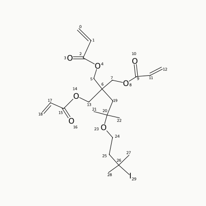 C=CC(=O)OCC(COC(=O)C=C)(COC(=O)C=C)CC(C)(C)OCCC(C)(C)I